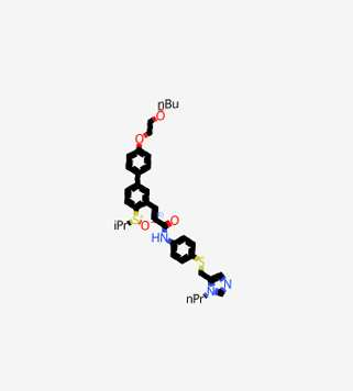 CCCCOCCOc1ccc(-c2ccc([S+]([O-])C(C)C)c(/C=C/C(=O)Nc3ccc(SCc4cncn4CCC)cc3)c2)cc1